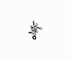 C#CCN1CC(=O)N2[C@@H](CCCC)C(=O)N(CCOC)C[C@@H]2N1C(=O)NCc1ccccc1